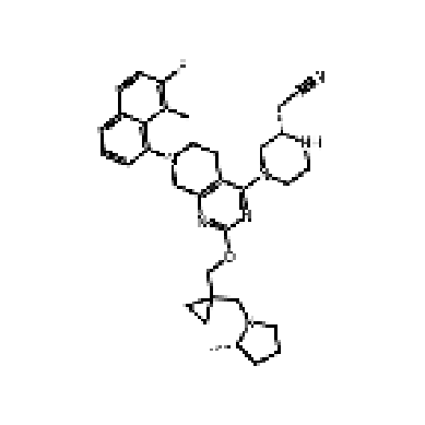 Cc1c(F)ccc2cccc(N3CCc4c(nc(OCC5(CN6CCC[C@@H]6C)CC5)nc4N4CCN[C@@H](CC#N)C4)C3)c12